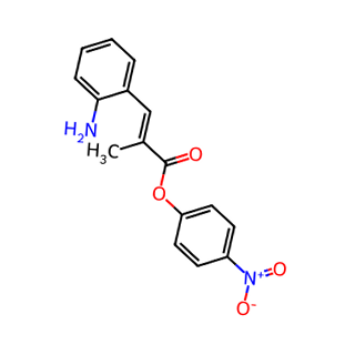 C/C(=C\c1ccccc1N)C(=O)Oc1ccc([N+](=O)[O-])cc1